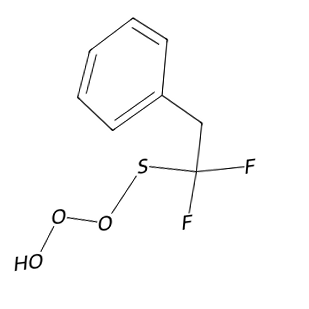 OOOSC(F)(F)Cc1ccccc1